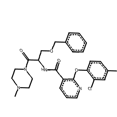 CN1CCN(C(=O)C(COCc2ccccc2)NC(=O)c2cccnc2Oc2ccc(Cl)cc2Cl)CC1